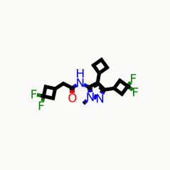 Cn1nc(C2CC(F)(F)C2)c(C2CCC2)c1NC(=O)CC1CC(F)(F)C1